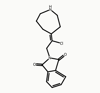 O=C1c2ccccc2C(=O)N1C/C(Cl)=C1\CCCNCC1